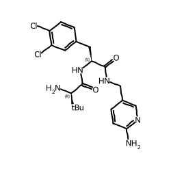 CC(C)(C)[C@@H](N)C(=O)N[C@@H](Cc1ccc(Cl)c(Cl)c1)C(=O)NCc1ccc(N)nc1